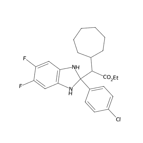 CCOC(=O)C(C1CCCCCC1)C1(c2ccc(Cl)cc2)Nc2cc(F)c(F)cc2N1